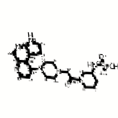 CS(=O)(=O)NC1CCCN(C(=O)CN2CCN(c3ccnc4cnc5[nH]ccc5c34)CC2)C1